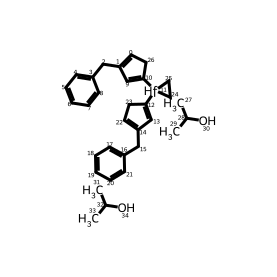 C1=C(Cc2ccccc2)C=[C]([Hf]2([C]3=CC(Cc4ccccc4)=CC3)[CH2][CH2]2)C1.CC(C)O.CC(C)O